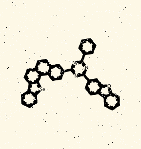 c1ccc(-c2nc(-c3ccc4c(ccc5ccc6c7ccccc7[se]c6c54)c3)nc(-c3ccc4c(c3)oc3ccccc34)n2)cc1